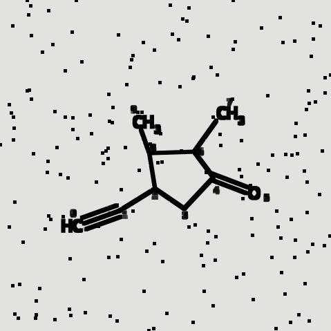 C#CC1CC(=O)C(C)C1C